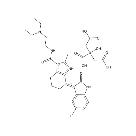 CCN(CC)CCNC(=O)c1c(C)[nH]c2c1CCC/C2=C1/C(=O)Nc2ccc(F)cc21.O=C(O)CC(O)(CC(=O)O)C(=O)O